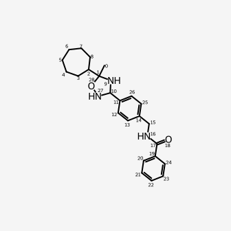 CC1(C2CCCCCC2)NC(c2ccc(CNC(=O)c3ccccc3)cc2)NO1